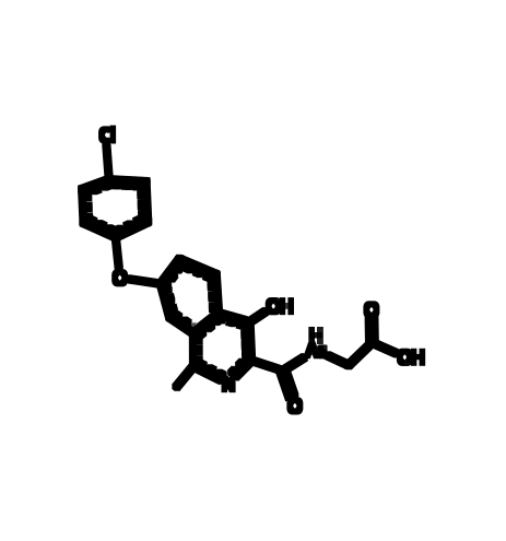 Cc1nc(C(=O)[AsH]CC(=O)O)c(O)c2ccc(Oc3ccc(Cl)cc3)cc12